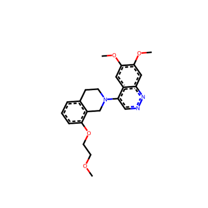 COCCOc1cccc2c1CN(c1cnnc3cc(OC)c(OC)cc13)CC2